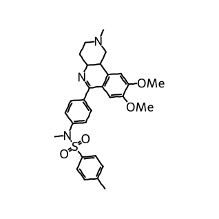 COc1cc2c(cc1OC)C1CN(C)CCC1N=C2c1ccc(N(C)S(=O)(=O)c2ccc(C)cc2)cc1